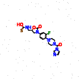 O=C1OC(CNC(O)=S)CN1c1ccc(N2CCN(C(=O)n3ccnc3)CC2)c(F)c1